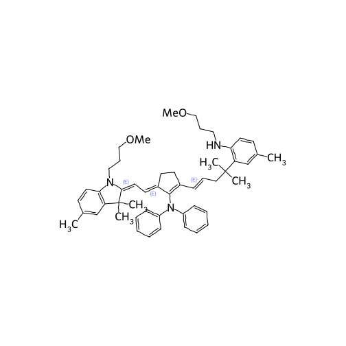 COCCCNc1ccc(C)cc1C(C)(C)C/C=C/C1=C(N(c2ccccc2)c2ccccc2)C(=C/C=C2/N(CCCOC)c3ccc(C)cc3C2(C)C)/CC1